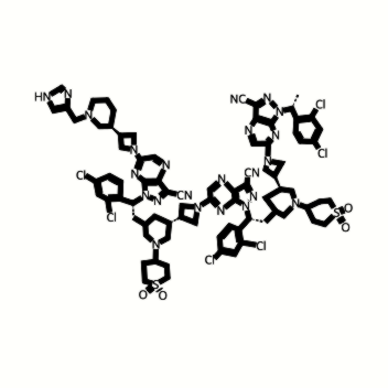 C[C@H](c1ccc(Cl)cc1Cl)n1nc(C#N)c2ncc(N3CC([C@@H]4CC(C[C@H](c5ccc(Cl)cc5Cl)n5nc(C#N)c6ncc(N7CC([C@H]8CC(C[C@H](c9ccc(Cl)cc9Cl)n9nc(C#N)c%10ncc(N%11CC([C@@H]%12CCCN(Cc%13c[nH]cn%13)C%12)C%11)nc%109)CN(C9CCS(=O)(=O)CC9)C8)C7)nc65)CN(C5CCS(=O)(=O)CC5)C4)C3)nc21